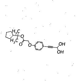 CC(C)(OC(=O)COc1ccc(C#CC(O)O)cc1)C1CCCC1